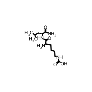 CC(C)C[C@H](NC(=O)[C@@H](N)CCCCNC(=O)O)C(N)=O